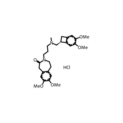 COc1cc2c(cc1OC)CC(=O)N(CCCN(C)C[C@H]1Cc3cc(OC)c(OC)cc31)CC2.Cl